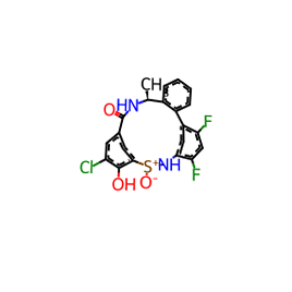 C[C@@H]1NC(=O)c2cc(Cl)c(O)c(c2)[S+]([O-])Nc2cc(c(F)cc2F)-c2ccccc21